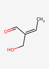 CC=C(C=O)CO